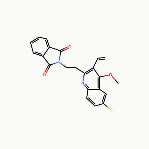 C=Cc1c(CCN2C(=O)c3ccccc3C2=O)nc2ccc(F)cc2c1OC